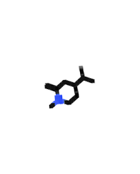 C=C1CC(C(C)C)CCN1C